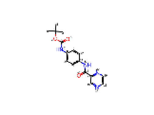 CC(C)(C)OC(=O)Nc1ccc(NC(=O)c2cnccn2)cc1